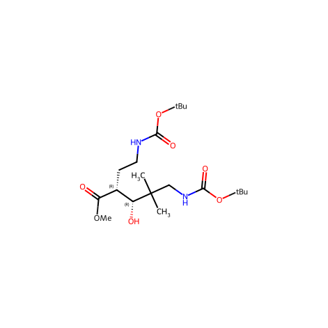 COC(=O)[C@H](CCNC(=O)OC(C)(C)C)[C@@H](O)C(C)(C)CNC(=O)OC(C)(C)C